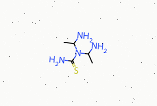 CC(N)N(C(N)=S)C(C)N